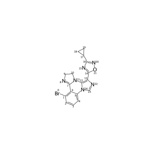 Brc1cccc2c1C1=NCCN1c1c(-c3nc(C4CC4)no3)ncn1-2